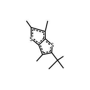 Cc1sc2c(C)c(C(C)(C)C)sc2c1C